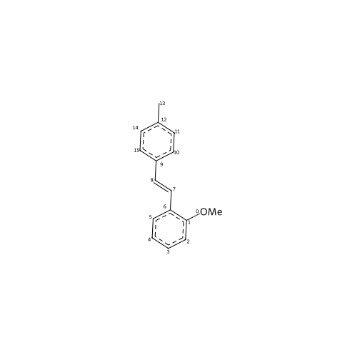 COc1ccccc1C=Cc1ccc(C)cc1